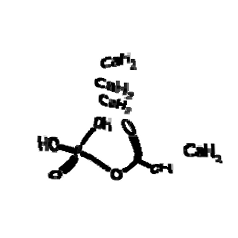 O=C(O)OP(=O)(O)O.[CaH2].[CaH2].[CaH2].[CaH2]